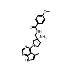 COc1ccc(C(=O)NC[C@@]2(N)CCN(c3ncnc4[nH]cc(C)c34)C2)cc1